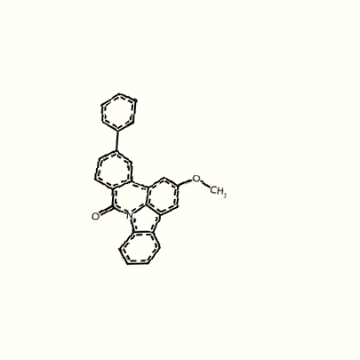 COc1cc2c3cc(-c4ccccc4)ccc3c(=O)n3c4ccccc4c(c1)c23